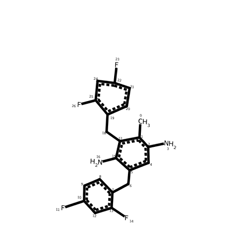 Cc1c(N)cc(Cc2ccc(F)cc2F)c(N)c1Cc1ccc(F)cc1F